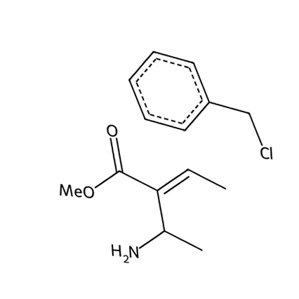 CC=C(C(=O)OC)C(C)N.ClCc1ccccc1